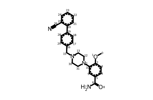 COc1ccc(C(N)=O)cc1N1CCN(Cc2ccc(-c3ccccc3C#N)cc2)CC1